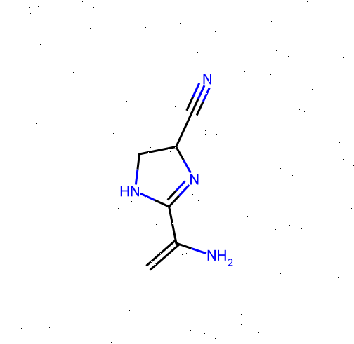 C=C(N)C1=NC(C#N)CN1